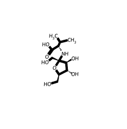 CC(C)[C@H](N[C@@]1(CO)O[C@H](CO)[C@@H](O)[C@@H]1O)C(=O)O